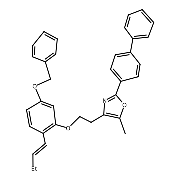 CC/C=C/c1ccc(OCc2ccccc2)cc1OCCc1nc(-c2ccc(-c3ccccc3)cc2)oc1C